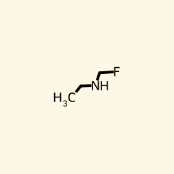 CCNCF